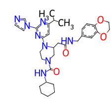 CC(C)c1cc(N2CCN(C(=O)NC3CCCCC3)CC2CC(=O)NCc2ccc3c(c2)OCCO3)nc(-n2ccnc2)n1